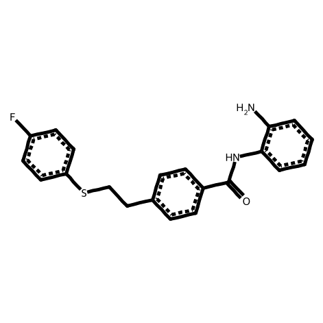 Nc1ccccc1NC(=O)c1ccc(CCSc2ccc(F)cc2)cc1